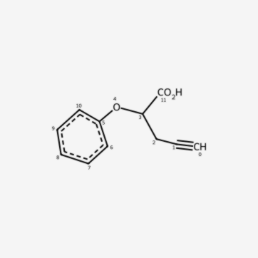 C#CCC(Oc1ccccc1)C(=O)O